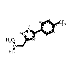 CCN(C)Cc1nc(-c2ccc(C(F)(F)F)cc2)no1